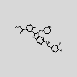 CNC(=O)c1ccc(Cl)c(-c2nc3cnc(NCc4ccc(F)c(F)c4)nc3n2C[C@@H]2CCCNC2)c1